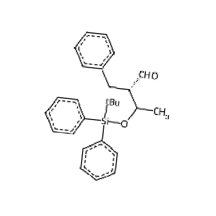 CC(O[Si](c1ccccc1)(c1ccccc1)C(C)(C)C)[C@@H](C=O)Cc1ccccc1